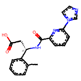 Cc1ccccc1[C@H](CC(=O)O)NC(=O)c1cccc(-n2ccnc2)n1